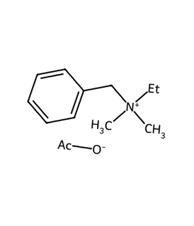 CC(=O)[O-].CC[N+](C)(C)Cc1ccccc1